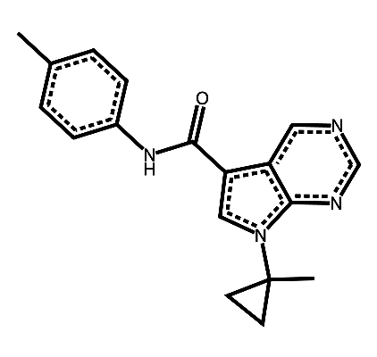 Cc1ccc(NC(=O)c2cn(C3(C)CC3)c3ncncc23)cc1